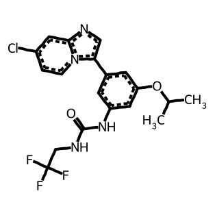 CC(C)Oc1cc(NC(=O)NCC(F)(F)F)cc(-c2cnc3cc(Cl)ccn23)c1